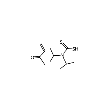 C=CC(C)=O.CC(C)N(C(=S)S)C(C)C